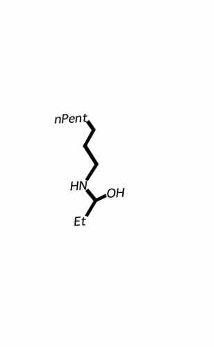 CCCCCCCCNC(O)CC